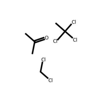 CC(C)=O.CC(Cl)(Cl)Cl.ClCCl